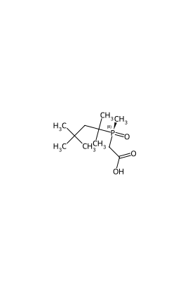 CC(C)(C)CC(C)(C)[P@](C)(=O)CC(=O)O